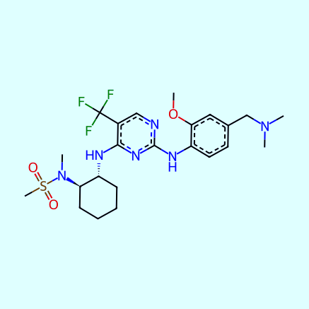 COc1cc(CN(C)C)ccc1Nc1ncc(C(F)(F)F)c(N[C@@H]2CCCC[C@H]2N(C)S(C)(=O)=O)n1